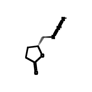 [N-]=[N+]=NC[C@H]1CCC(=O)O1